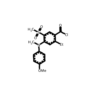 CCc1cc(N(C)c2ccc(OC)cc2)c(S(C)(=O)=O)cc1C(=O)Cl